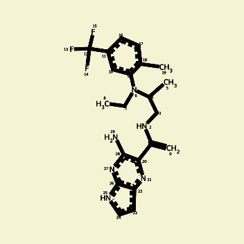 C=C(NCC(C)N(CC)c1cc(C(F)(F)F)ccc1C)c1nc2cc[nH]c2nc1N